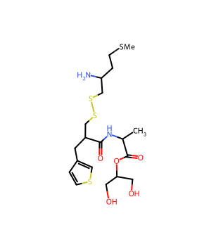 CSCCC(N)CSSCC(Cc1ccsc1)C(=O)NC(C)C(=O)OC(CO)CO